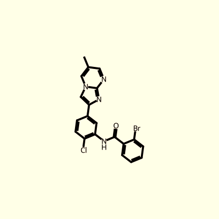 Cc1cnc2nc(-c3ccc(Cl)c(NC(=O)c4ccccc4Br)c3)cn2c1